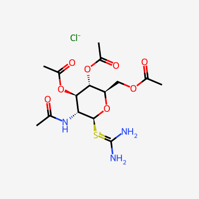 CC(=O)N[C@@H]1[C@@H](OC(C)=O)[C@H](OC(C)=O)[C@@H](COC(C)=O)O[C@H]1[S+]=C(N)N.[Cl-]